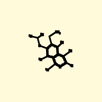 [2H]c1nc([2H])c2c([2H])c(OC([2H])[2H])c(CN)c([2H])c2c1[2H]